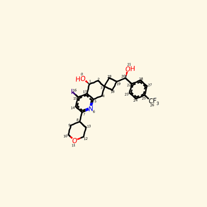 O[C@H]1CC2(Cc3nc(C4CCOCC4)cc(I)c31)CC([C@@H](O)c1ccc(C(F)(F)F)cc1)C2